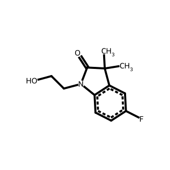 CC1(C)C(=O)N(CCO)c2ccc(F)cc21